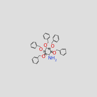 NC1[C@@H](OCc2ccccc2)[C@H](OCc2ccccc2)C(OCc2ccccc2)[C@H](OCc2ccccc2)[C@H]1OCc1ccccc1